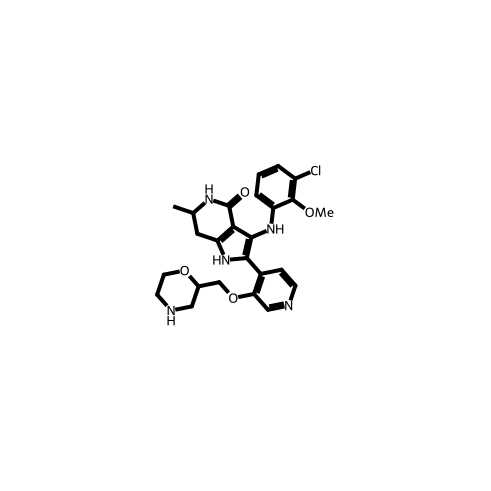 COc1c(Cl)cccc1Nc1c(-c2ccncc2OCC2CNCCO2)[nH]c2c1C(=O)NC(C)C2